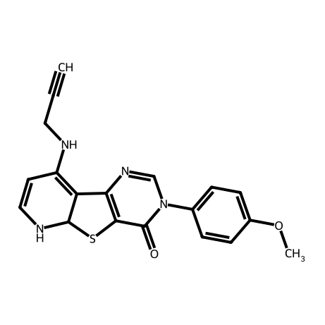 C#CCNC1=C2c3ncn(-c4ccc(OC)cc4)c(=O)c3SC2NC=C1